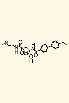 CCc1ccc(-c2ccc(C(=O)N[C@H](CN(O)C(=O)NCCN(C)C)[C@@H](C)O)cc2)cc1